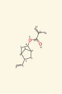 C=CC1CC2CC1CC2OC(=O)C(=C)C